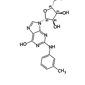 Cc1cccc(Nc2nc(O)c3ncn([C@@H]4O[C@H](CO)[C@@H](O)[C@H]4O)c3n2)c1